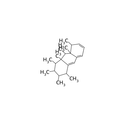 CC1C2=CC3=CC=CC(C)C3(C)C(C)C2(C)C(C)C(C)C1C